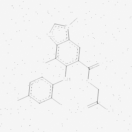 Cn1cnc2c(F)c(Nc3ccc(I)cc3F)c(C(=O)NCC(N)=O)cc21